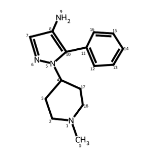 CN1CCC(n2ncc(N)c2-c2ccccc2)CC1